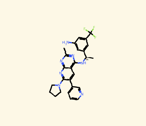 Cc1nc(N[C@H](C)c2cc(N)cc(C(F)(F)F)c2)c2cc(-c3cccnc3)c(N3CCCC3)nc2n1